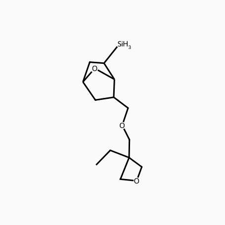 CCC1(COCC2CC3CC([SiH3])C2O3)COC1